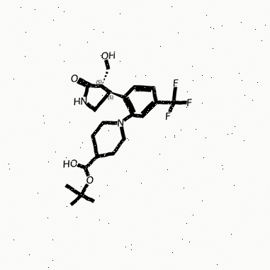 CC(C)(C)OC(O)C1CCN(c2cc(C(F)(F)F)ccc2[C@H]2CNC(=O)[C@@H]2CO)CC1